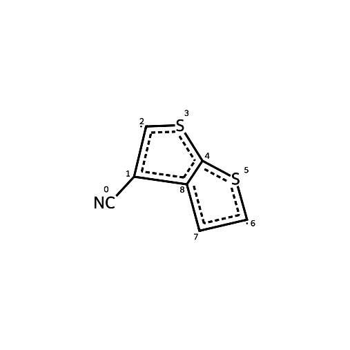 N#Cc1[c]sc2s[c]cc12